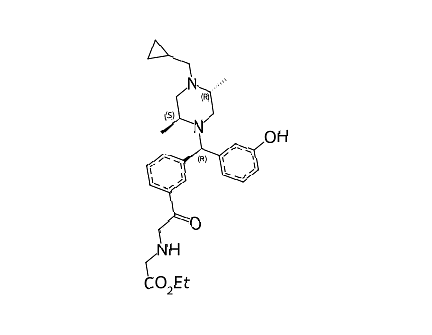 CCOC(=O)CNCC(=O)c1cccc([C@H](c2cccc(O)c2)N2C[C@@H](C)N(CC3CC3)C[C@@H]2C)c1